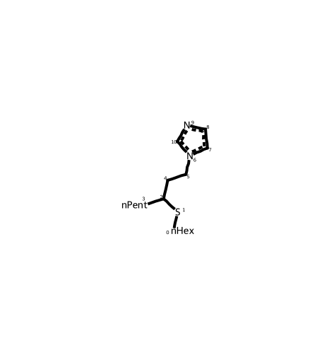 CCCCCCSC(CCCCC)CCn1ccnc1